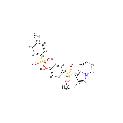 CCc1cn2ccccc2c1S(=O)(=O)c1ccc(OS(=O)(=O)c2ccc(C)cc2)cc1